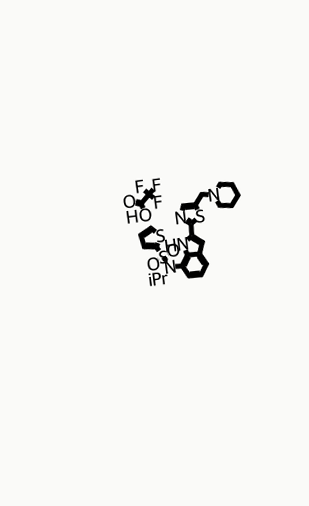 CC(C)N(c1cccc2cc(-c3ncc(CN4CCCCC4)s3)[nH]c12)S(=O)(=O)c1cccs1.O=C(O)C(F)(F)F